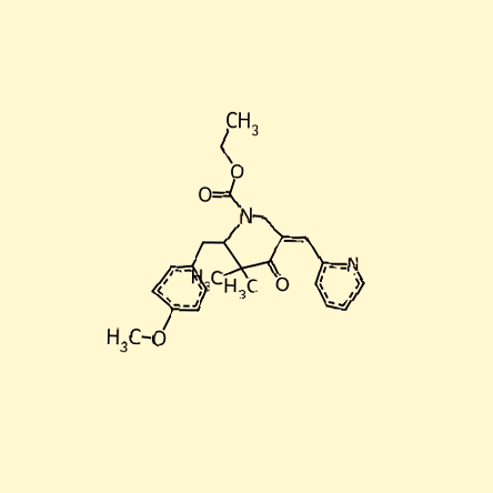 CCOC(=O)N1CC(=Cc2ccccn2)C(=O)C(C)(C)C1Cc1ccc(OC)cc1